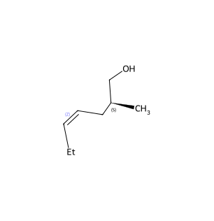 CC/C=C\C[C@H](C)CO